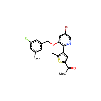 COC(=O)c1cc(-c2ncc(Br)cc2OCc2cc(F)cc(SC)c2)c(C)s1